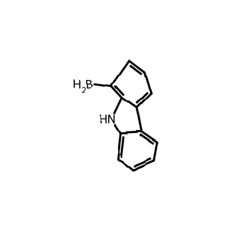 Bc1cccc2c1[nH]c1ccccc12